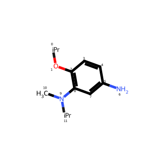 CC(C)Oc1ccc(N)cc1N(C)C(C)C